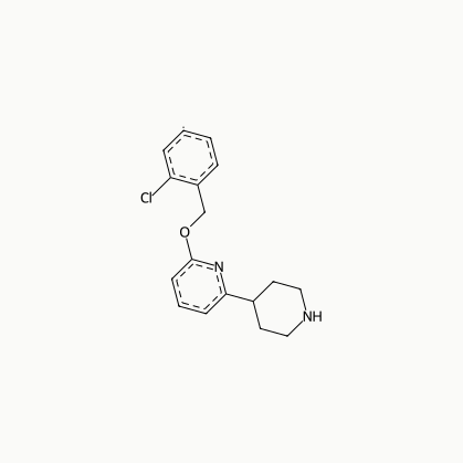 Clc1c[c]ccc1COc1cccc(C2CCNCC2)n1